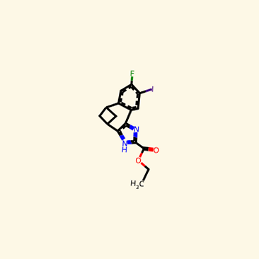 CCOC(=O)c1nc2c([nH]1)C1CC(C1)c1cc(F)c(I)cc1-2